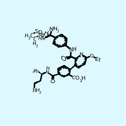 CCOc1ccc(-c2ccc(C(=O)N[C@@H](CCN)C(C)C)cc2C(=O)O)c(C(=O)Nc2ccc(C(=N)N)cc2)n1.CS(=O)(=O)O.CS(=O)(=O)O